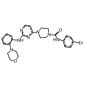 CCc1ccc(NC(=O)N2CCN(c3ccnc(Nc4ccccc4N4CCOCC4)n3)CC2)cc1